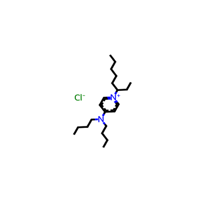 CCCCCC(CC)[n+]1ccc(N(CCCC)CCCC)cc1.[Cl-]